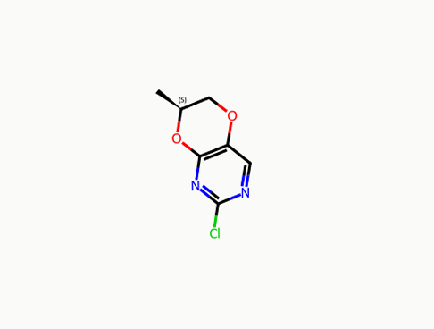 C[C@H]1COc2cnc(Cl)nc2O1